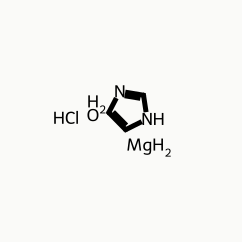 Cl.O.[MgH2].c1c[nH]cn1